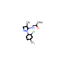 COC(=O)CNc1c(C#N)cnn1-c1ccc(C(F)(F)F)cc1Cl